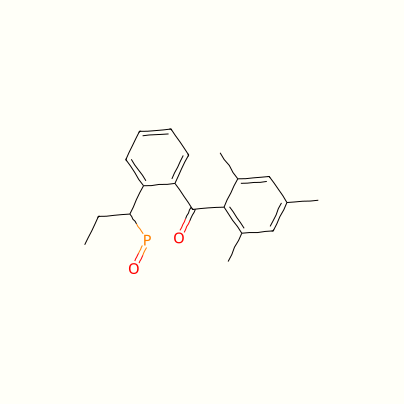 CCC(P=O)c1ccccc1C(=O)c1c(C)cc(C)cc1C